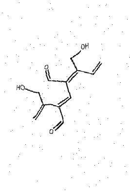 C=C/C(CO)=C(C=O)\C=C(\C=O)C(=C)CO